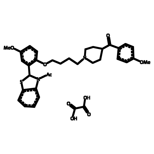 COc1ccc(C(=O)C2CCN(CCCCOc3ccc(OC)cc3C3Sc4ccccc4N3C(C)=O)CC2)cc1.O=C(O)C(=O)O